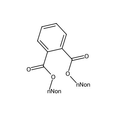 CCCCCCCCCOC(=O)c1ccccc1C(=O)OCCCCCCCCC